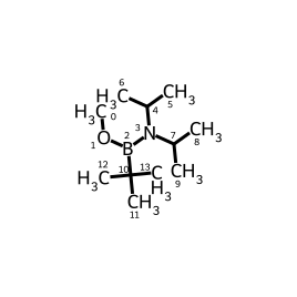 COB(N(C(C)C)C(C)C)C(C)(C)C